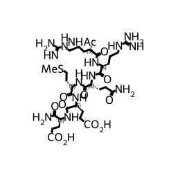 CSCC[C@H](NC(=O)[C@@H](CCC(N)=O)NC(=O)[C@H](CCCNC(=N)N)NC(=O)[C@H](CCCNC(=N)N)NC(C)=O)C(=O)N[C@@H](CCC(=O)O)C(=O)N[C@@H](CCC(=O)O)C(N)=O